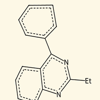 CCc1nc(-c2ccccc2)c2ccccc2n1